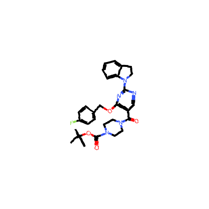 CC(C)(C)OC(=O)N1CCN(C(=O)c2cnc(N3CCc4ccccc43)nc2OCc2ccc(F)cc2)CC1